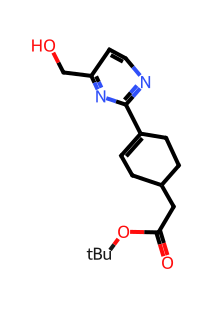 CC(C)(C)OC(=O)CC1CC=C(c2nccc(CO)n2)CC1